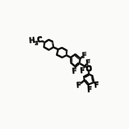 CC1CCC(C2CCC(c3cc(F)c(C(F)(F)Oc4cc(F)c(F)c(F)c4)c(F)c3)CC2)CC1